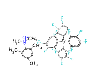 Cc1cc(C)c([NH+](C)C)c(C)c1.Fc1cc(F)c([B-](c2c(F)cc(F)c(F)c2F)(c2c(F)cc(F)c(F)c2F)c2c(F)cc(F)c(F)c2F)c(F)c1F